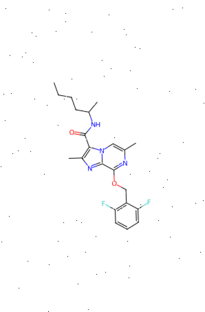 CCCCC(C)NC(=O)c1c(C)nc2c(OCc3c(F)cccc3F)nc(C)cn12